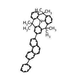 CC1(C)c2cccc3c2N2c4c1cccc4C(C)(C)c1cc(-c4ccc5c(ccc6cc(-c7ccccc7)ccc65)c4)cc(c12)C3(C)C